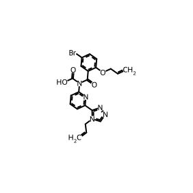 C=CCOc1ccc(Br)cc1C(=O)N(C(=O)O)c1cccc(-c2nncn2CC=C)n1